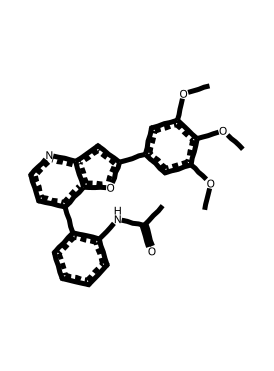 COc1cc(-c2cc3nccc(-c4ccccc4NC(C)=O)c3o2)cc(OC)c1OC